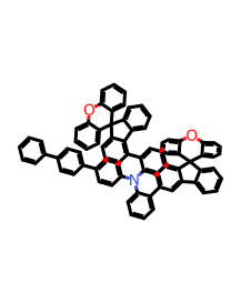 c1ccc(-c2ccc(-c3ccc(N(c4ccccc4-c4ccc5c(c4)-c4ccccc4C54c5ccccc5Oc5ccccc54)c4ccccc4-c4cccc5c4-c4ccccc4C54c5ccccc5Oc5ccccc54)cc3)cc2)cc1